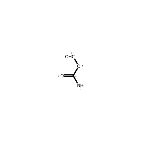 [NH]C(=O)OC=O